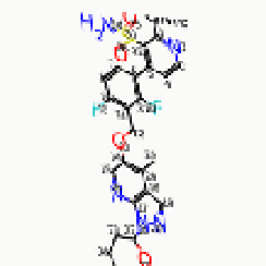 COc1nccc(-c2ccc(F)c(COc3cnc4c(cnn4C4CCCCO4)c3C)c2F)c1S(N)(=O)=O